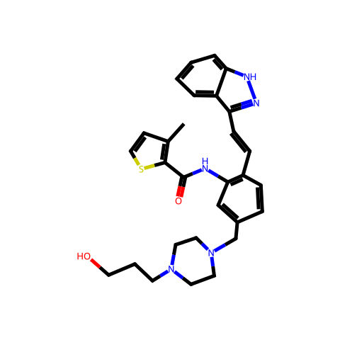 Cc1ccsc1C(=O)Nc1cc(CN2CCN(CCCO)CC2)ccc1/C=C/c1n[nH]c2ccccc12